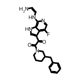 N/C=C\Nc1ncc(F)c2c(C(=O)C(=O)N3CCCC(Cc4ccccc4)C3)c[nH]c12